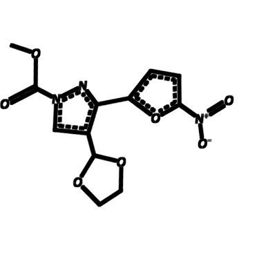 COC(=O)n1cc(C2OCCO2)c(-c2ccc([N+](=O)[O-])o2)n1